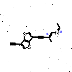 C#Cc1csc2c(C#C/C(C)=C/N=C\C)csc12